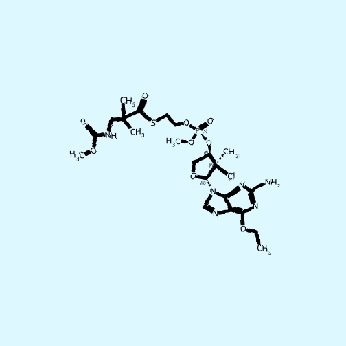 CCOc1nc(N)nc2c1ncn2[C@@H]1OC[C@@H](O[P@@](=O)(OC)OCCSC(=O)C(C)(C)CNC(=O)OC)[C@@]1(C)Cl